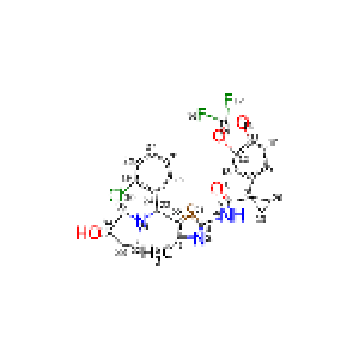 Cc1nc(NC(=O)C2(c3ccc4c(c3)OC(F)(F)O4)CC2)sc1C(c1ccccc1Cl)N1CCC(O)C1